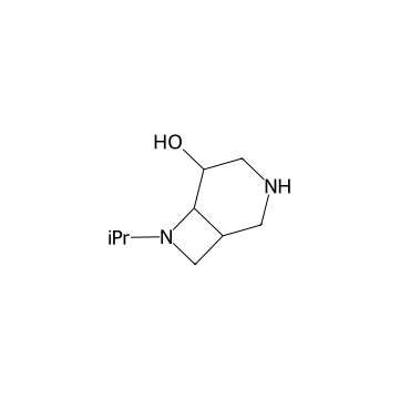 CC(C)N1CC2CNCC(O)C21